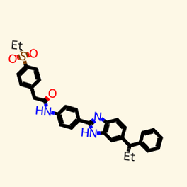 CCC(c1ccccc1)c1ccc2nc(-c3ccc(NC(=O)Cc4ccc(S(=O)(=O)CC)cc4)cc3)[nH]c2c1